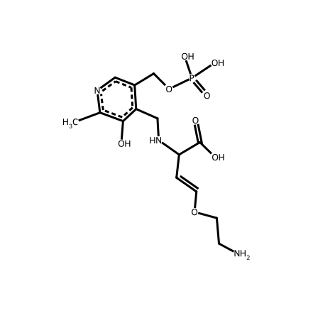 Cc1ncc(COP(=O)(O)O)c(CNC(C=COCCN)C(=O)O)c1O